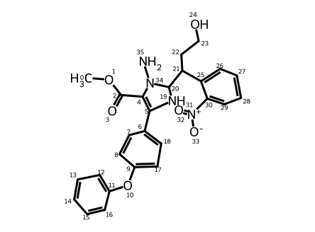 COC(=O)C1=C(c2ccc(Oc3ccccc3)cc2)NC(C(CCO)c2ccccc2[N+](=O)[O-])N1N